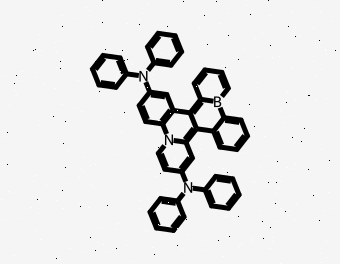 C1=CB2C(=C3C(=C4C=C(N(c5ccccc5)c5ccccc5)C=CN4c4ccc(N(c5ccccc5)c5ccccc5)cc43)c3ccccc32)C=C1